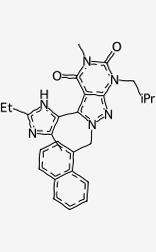 CCc1nc(C)c(-c2c3c(=O)n(C)c(=O)n(CC(C)C)c3nn2Cc2cccc3ccccc23)[nH]1